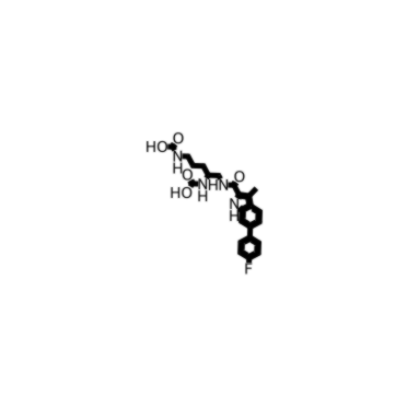 Cc1c(C(=O)NCC(CCCNC(=O)O)NC(=O)O)[nH]c2cc(-c3ccc(F)cc3)ccc12